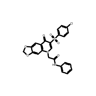 O=C(Cn1cc(S(=O)(=O)c2ccc(Cl)cc2)c(=O)c2cc3c(cc21)OCO3)Nc1ccccc1